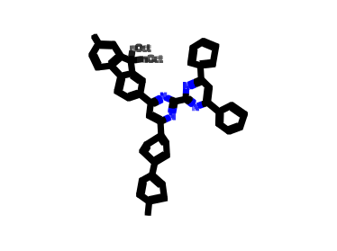 CCCCCCCCC1(CCCCCCCC)c2cc(C)ccc2-c2ccc(-c3cc(-c4ccc(-c5ccc(C)cc5)cc4)nc(-c4nc(-c5ccccc5)cc(-c5ccccc5)n4)n3)cc21